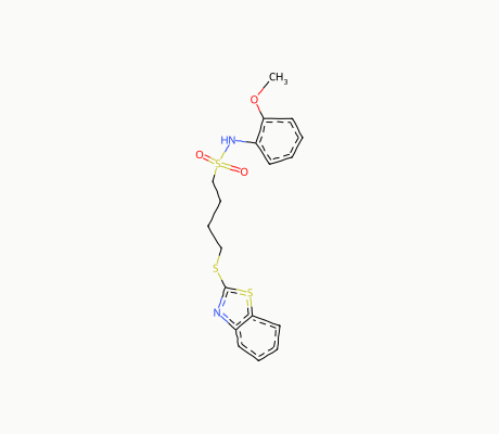 COc1ccccc1NS(=O)(=O)CCCCSc1nc2ccccc2s1